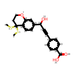 CSC1(SC)CCOc2cc(C(O)C#Cc3ccc(C(=O)O)cc3)ccc21